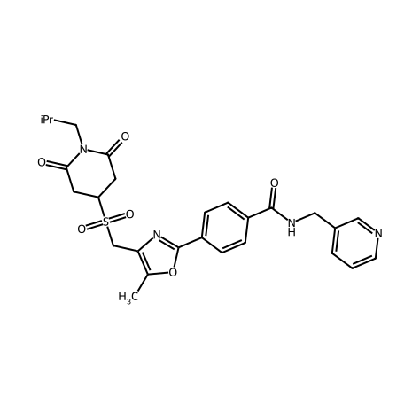 Cc1oc(-c2ccc(C(=O)NCc3cccnc3)cc2)nc1CS(=O)(=O)C1CC(=O)N(CC(C)C)C(=O)C1